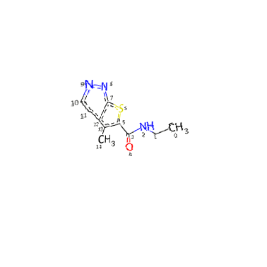 CCNC(=O)c1sc2nnccc2c1C